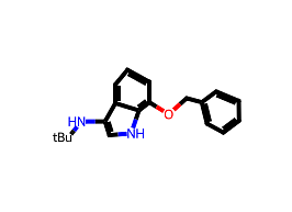 CC(C)(C)Nc1c[nH]c2c(OCc3ccccc3)cccc12